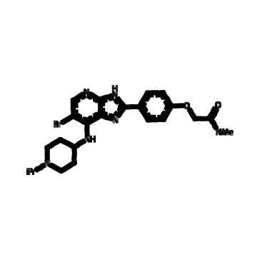 CNC(=O)COc1ccc(-c2nc3c(NC4CCN(C(C)C)CC4)c(Br)cnc3[nH]2)cc1